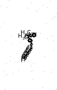 CCC(Cc1ccccc1)(NC)C(=O)c1ccc(SCCC(F)(F)C(F)(F)C(F)(F)C(F)(F)C(F)(F)C(F)(F)C(F)(F)C(F)(F)F)cc1